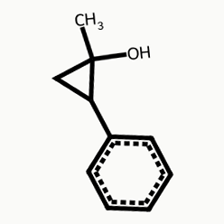 CC1(O)CC1c1ccccc1